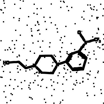 [O-][S+](c1cccc(N2CCN(CCO)CC2)c1)C(F)(F)F